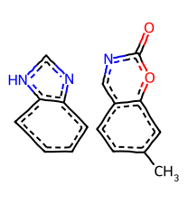 Cc1ccc2cnc(=O)oc2c1.c1ccc2[nH]cnc2c1